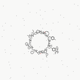 CCC[C@H]1CN[C@@H]([C@@H](C)CC)CN2CCC[C@H]2CN(C)[C@H]2C/C=C\CCN(C2)[C@@H](Cc2ccc(C)cc2)CN(C)CCN[C@@H](CCc2ccc(C(F)(F)F)c(OC)c2)CN2C[C@H](OCC)C[C@H]2CN(C)C2(CCC2)CN(C)[C@@H](C2CCCC2)CN(C)[C@H](C(=O)N2CCCC2)CCN1C